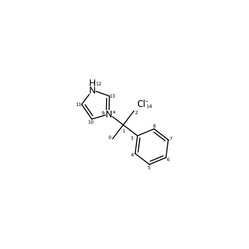 CC(C)(c1ccccc1)[n+]1cc[nH]c1.[Cl-]